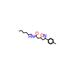 CCCCCCNC(=O)CC1CC(c2ccc(C)cc2)=NO1